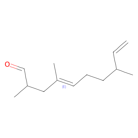 C=CC(C)CC/C=C(\C)CC(C)C=O